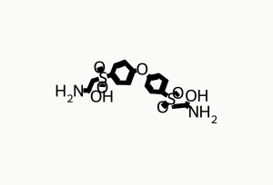 NC(O)CS(=O)(=O)c1ccc(Oc2ccc(S(=O)(=O)CC(N)O)cc2)cc1